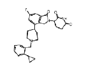 O=C1CCC(N2Cc3c(cc(F)cc3C3CCN(Cc4ccccc4C4CC4)CC3)C2=O)C(=O)N1